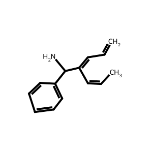 C=C/C=C(\C=C/C)C(N)c1ccccc1